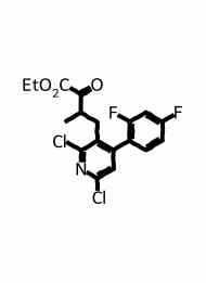 CCOC(=O)C(=O)C(C)Cc1c(-c2ccc(F)cc2F)cc(Cl)nc1Cl